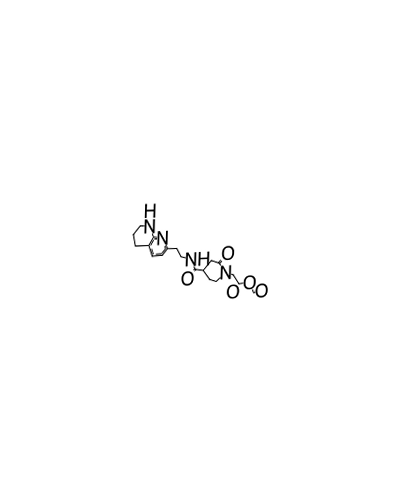 O=COC(=O)CN1CCC(C(=O)NCCc2ccc3c(n2)NCCC3)CC1=O